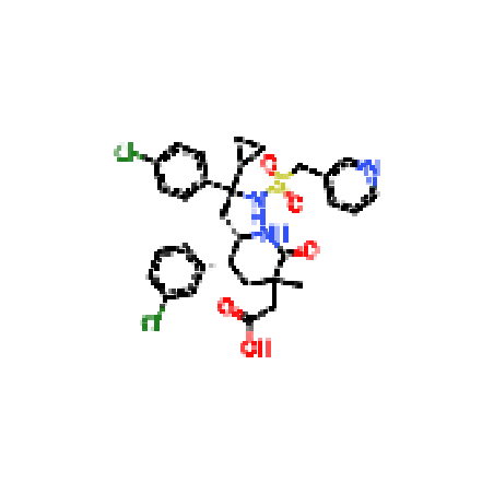 C[C@@]1(CC(=O)O)C[C@H](c2cccc(Cl)c2)[C@H](C[C@@](NS(=O)(=O)Cc2cccnc2)(c2ccc(Cl)cc2)C2CC2)NC1=O